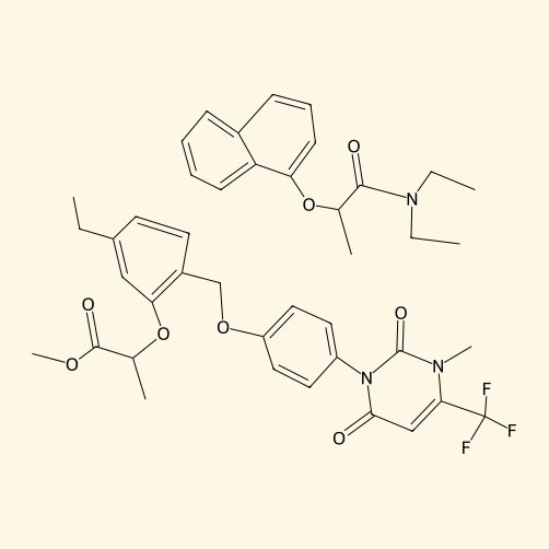 CCN(CC)C(=O)C(C)Oc1cccc2ccccc12.CCc1ccc(COc2ccc(-n3c(=O)cc(C(F)(F)F)n(C)c3=O)cc2)c(OC(C)C(=O)OC)c1